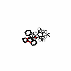 CC1(C)O[C@H]2C(=O)C(F)(S(=O)(=O)c3ccccc3)C(O)(COC(c3ccccc3)(c3ccccc3)c3ccccc3)[C@H]2O1